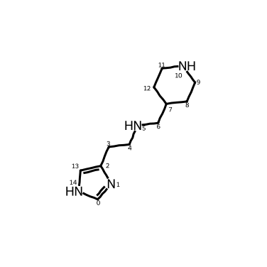 c1nc(CCNCC2CCNCC2)c[nH]1